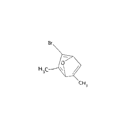 Cc1cc2oc1c(C)c2Br